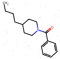 [CH2]CCCC1CCN(C(=O)c2ccccc2)CC1